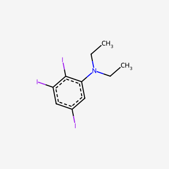 CCN(CC)c1cc(I)cc(I)c1I